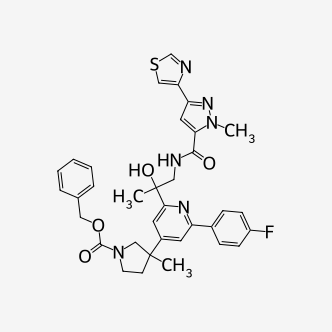 Cn1nc(-c2cscn2)cc1C(=O)NCC(C)(O)c1cc(C2(C)CCN(C(=O)OCc3ccccc3)C2)cc(-c2ccc(F)cc2)n1